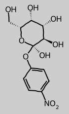 O=[N+]([O-])c1ccc(O[C@@]2(O)O[C@H](CO)[C@H](O)[C@H](O)[C@H]2O)cc1